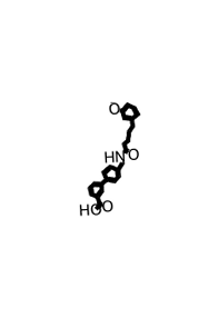 COc1cccc(CCCCC(=O)NCc2ccc(-c3cccc(C(=O)O)c3)cc2)c1